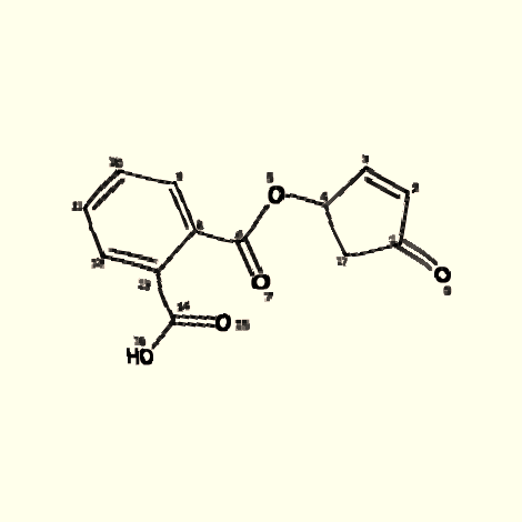 O=C1C=CC(OC(=O)c2ccccc2C(=O)O)C1